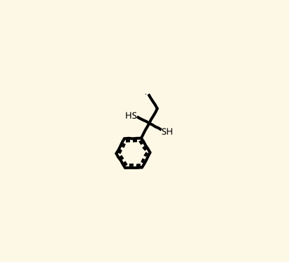 [CH2]CC(S)(S)c1ccccc1